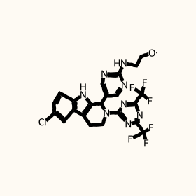 [O]CCNc1ncc(C2c3[nH]c4ccc(Cl)cc4c3CCN2c2nc(C(F)(F)F)nc(C(F)(F)F)n2)cn1